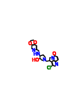 O=c1ccc2ncc(Cl)c3c2n1CC3CN1CC[C@H](NCc2cc3c(cn2)OCCO3)[C@H](O)C1